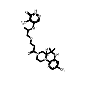 CC(COCCC(=O)N1CCN2c3ncc(C(F)(F)F)cc3NC(C)(C)[C@H]2C1)Nc1cn[nH]c(=O)c1C(F)(F)F